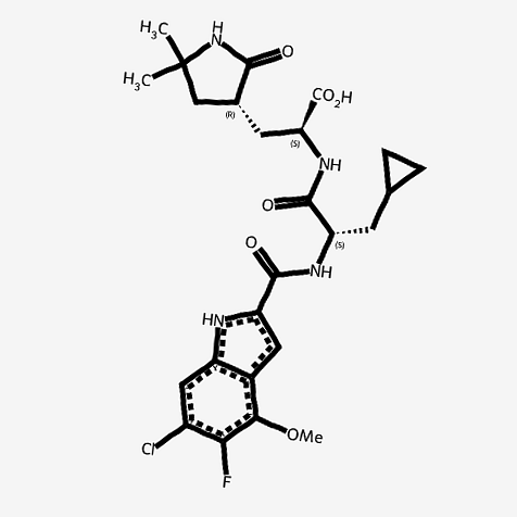 COc1c(F)c(Cl)cc2[nH]c(C(=O)N[C@@H](CC3CC3)C(=O)N[C@@H](C[C@@H]3CC(C)(C)NC3=O)C(=O)O)cc12